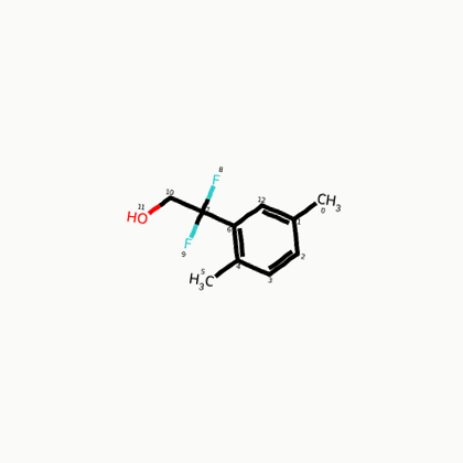 Cc1ccc(C)c(C(F)(F)CO)c1